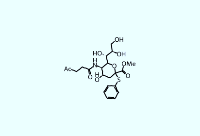 COC(=O)C1(Sc2ccccc2)C[C@@H](O)[C@@H](NC(=O)CCC(C)=O)C([C@H](O)[C@H](O)CO)O1